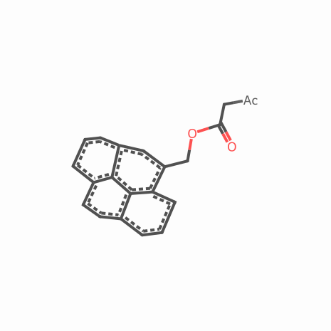 CC(=O)CC(=O)OCc1cc2cccc3ccc4cccc1c4c32